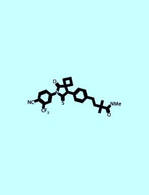 CNC(=O)C(C)(C)CCc1ccc(C2C(=S)N(c3ccc(C#N)c(C(F)(F)F)c3)C(=O)C23CCC3)cc1